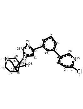 Clc1ccc(-c2cccc(-c3cn([C@H]4CN5CCC4CC5)nn3)c2)cn1